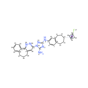 Nc1nc(Nc2ccc3c(c2)CC[C@H](N2CC4(F)CC2C4)CC3)nn1-c1cc2c(nn1)-c1ccccc1CCC2